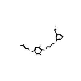 O/N=C/c1cccc(OCCCOc2c(Cl)cc(OCC=C(Cl)Cl)cc2Cl)c1